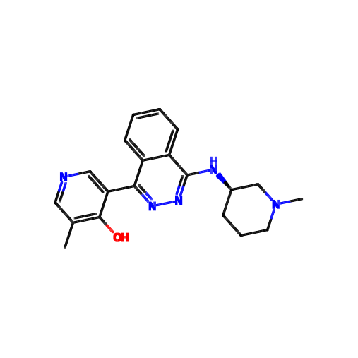 Cc1cncc(-c2nnc(N[C@@H]3CCCN(C)C3)c3ccccc23)c1O